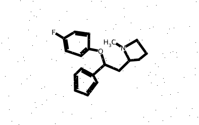 CN1CCCC1CC(Oc1ccc(F)cc1)c1ccccc1